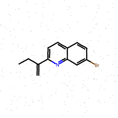 C=C(CC)c1ccc2ccc(Br)cc2n1